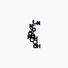 C=C/C(C#N)=C\N(C)CC(=O)[C@H]1CC[C@H]2[C@@H]3CCC4C[C@](C)(O)CCC4[C@H]3CCC12C